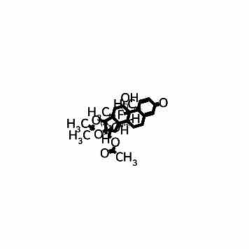 CC(=O)OCC(=O)[C@@]12OC(C)(C)O[C@@H]1C[C@H]1[C@@H]3CCC4=CC(=O)C=C[C@]4(C)C3(F)[C@@H](O)C[C@@]12C